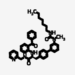 CCCCCCCNC(=O)N(C)c1cccc(-c2ccc(C[C@H](Nc3ccccc3C(=O)c3ccccc3)C(=O)NCc3ccccn3)cc2)c1